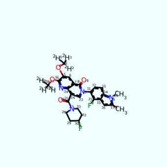 [2H]C([2H])([2H])Oc1cc2c(=O)n(-c3ccc4c(cc(C)n4C)c3F)cc(C(=O)N3CCC(F)CC3)c2nc1OC([2H])([2H])[2H]